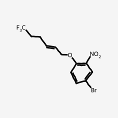 O=[N+]([O-])c1cc(Br)ccc1OCC=CCCC(F)(F)F